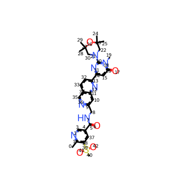 Cc1ncc(C(=O)NCc2cc3nc(-c4cc(=O)n(C)c(N5CC(C)(C)OC(C)(C)C5)n4)ccc3cn2)cc1S(C)(=O)=O